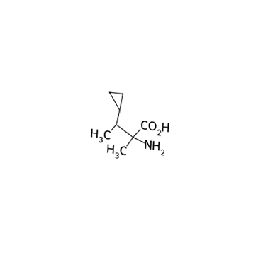 CC(C1CC1)C(C)(N)C(=O)O